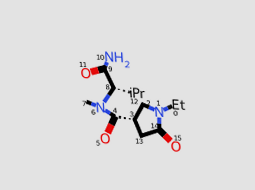 CCN1C[C@@H](C(=O)N(C)[C@H](C(N)=O)C(C)C)CC1=O